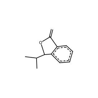 C=C1OC(C(C)C)c2ccccc21